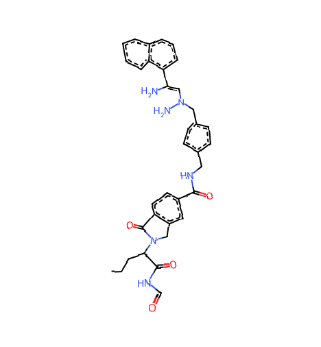 CCCC(C(=O)NC=O)N1Cc2cc(C(=O)NCc3ccc(CN(N)/C=C(\N)c4cccc5ccccc45)cc3)ccc2C1=O